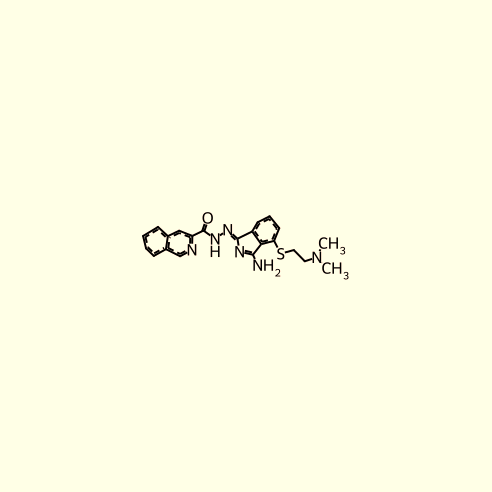 CN(C)CCSc1cccc2c1C(N)=N/C2=N\NC(=O)c1cc2ccccc2cn1